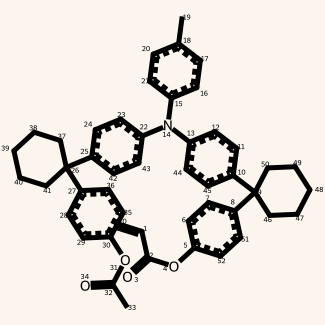 C=CC(=O)Oc1ccc(C2(c3ccc(N(c4ccc(C)cc4)c4ccc(C5(c6ccc(OC(C)=O)cc6)CCCCC5)cc4)cc3)CCCCC2)cc1